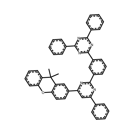 CC1(C)c2ccccc2Oc2ccc(-c3cc(-c4ccccc4)nc(-c4cccc(-c5nc(-c6ccccc6)nc(-c6ccccc6)n5)c4)n3)cc21